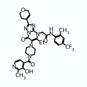 CCc1c(N2CCN(C(=O)c3ccnc(C)c3O)CC2)c(=O)n2nc(C3=CCOCC3)nc2n1CC(=O)Nc1ccc(C(F)(F)F)cc1C